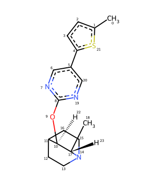 Cc1ccc(-c2cnc(O[C@@H]3C4CCN(CC4)[C@H]3C)nc2)s1